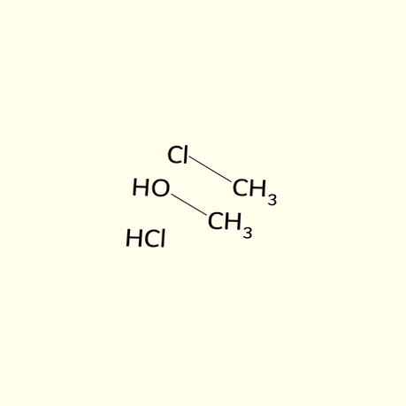 CCl.CO.Cl